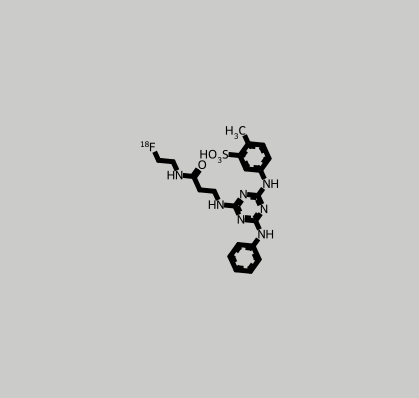 Cc1ccc(Nc2nc(NCCC(=O)NCC[18F])nc(Nc3ccccc3)n2)cc1S(=O)(=O)O